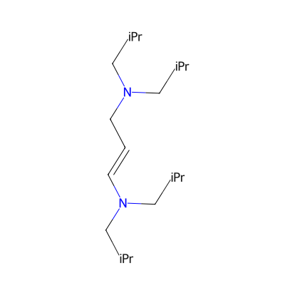 CC(C)CN(C=CCN(CC(C)C)CC(C)C)CC(C)C